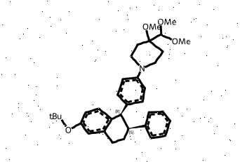 COC(OC)C1(OC)CCN(c2ccc([C@@H]3c4ccc(OC(C)(C)C)cc4CC[C@@H]3c3ccccc3)cc2)CC1